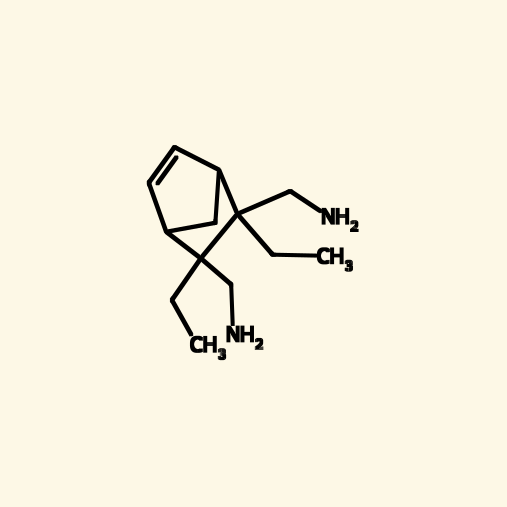 CCC1(CN)C2C=CC(C2)C1(CC)CN